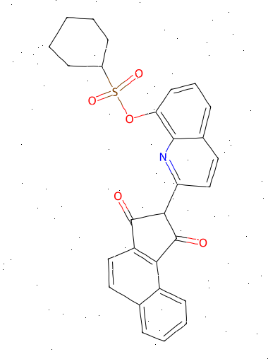 O=C1c2ccc3ccccc3c2C(=O)C1c1ccc2cccc(OS(=O)(=O)C3CCCCC3)c2n1